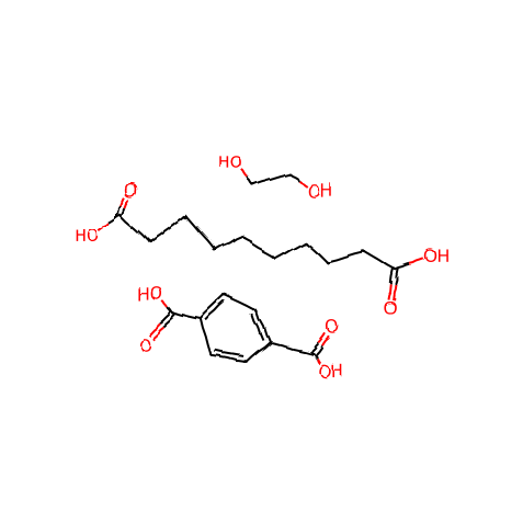 O=C(O)CCCCCCCCC(=O)O.O=C(O)c1ccc(C(=O)O)cc1.OCCO